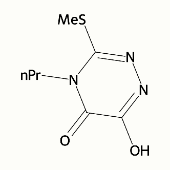 CCCn1c(SC)nnc(O)c1=O